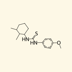 COc1ccc(NC(=S)NC2CCCC(C)C2C)cc1